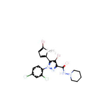 O=C(NN1CCCCC1)c1nn(-c2ccc(Cl)cc2Cl)c(C2=CC=C(Br)[SeH2]2)c1Br